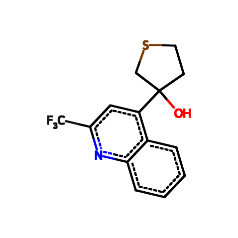 OC1(c2cc(C(F)(F)F)nc3ccccc23)CCSC1